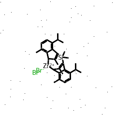 CC1=C2c3c(C(C)C)ccc(C)c3[CH]1[Zr+2][CH]1C(C)=C(c3c(C(C)C)ccc(C)c31)[Si]2(C)C.[Br-].[Br-]